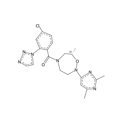 Cc1cc(N2CCN(C(=O)c3ccc(Cl)cc3-n3ccnn3)C[C@H](C)O2)nc(C)n1